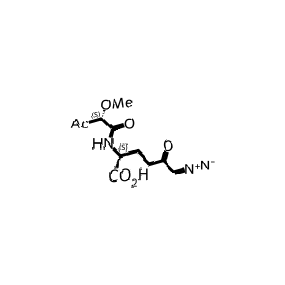 CO[C@@H](C(C)=O)C(=O)N[C@@H](CCC(=O)C=[N+]=[N-])C(=O)O